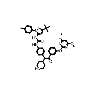 COc1cc(OC)nc(Oc2cccc(C(=O)C(c3ccc(NC(=O)Nc4cc(C(C)(C)C)nn4-c4ccc(C)cc4)cc3)C3CCNCC3)c2)n1